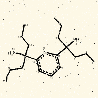 CCCC(P)(CCC)c1cccc(C(P)(CCC)CCC)n1